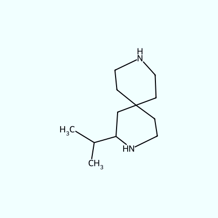 CC(C)C1CC2(CCNCC2)CCN1